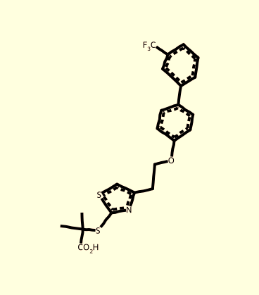 CC(C)(Sc1nc(CCOc2ccc(-c3cccc(C(F)(F)F)c3)cc2)cs1)C(=O)O